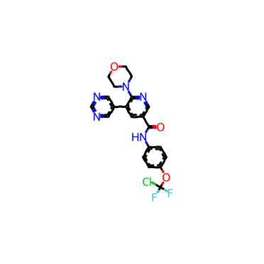 O=C(Nc1ccc(OC(F)(F)Cl)cc1)c1cnc(N2CCOCC2)c(-c2cncnc2)c1